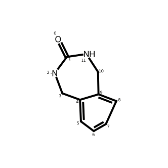 O=C1[N]Cc2ccccc2CN1